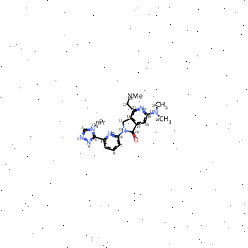 CCCn1cnnc1-c1cccc(N2Cc3c(cc(N(C)C)nc3CNC)C2=O)n1